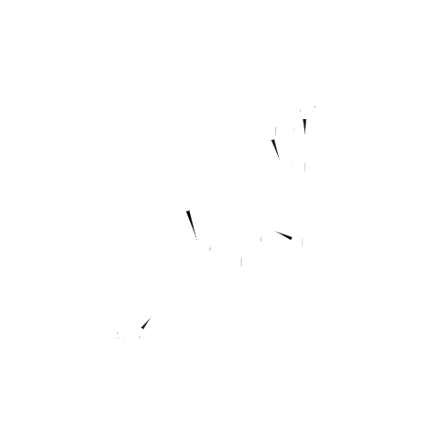 CC(=O)O[C@H]1CC[C@@]2(C)C(=CC[C@H]3[C@@H]4CC[C@H](OC(C)=O)[C@@]4(C=O)CC[C@@H]32)C1